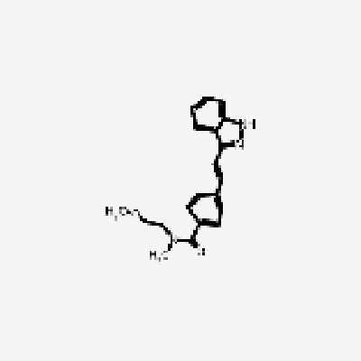 COCCN(C)C(=O)c1ccc(C=Cc2n[nH]c3ccccc23)cc1